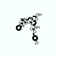 COc1ccc(COC(=O)Nc2ccn(N(CCNS(=O)(=O)c3nc4ccccc4s3)CC(=O)O)c(=O)n2)cc1